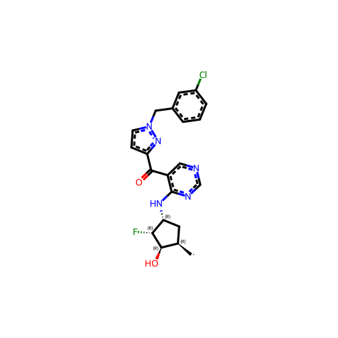 [CH2][C@@H]1C[C@@H](Nc2ncncc2C(=O)c2ccn(Cc3cccc(Cl)c3)n2)[C@@H](F)[C@@H]1O